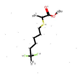 CCCCOC(=O)C(CCC)SCCCCCC(F)(F)C(F)(F)F